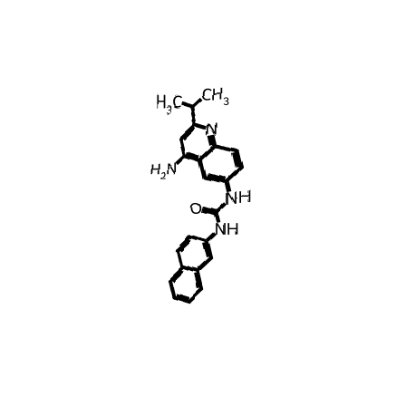 CC(C)c1cc(N)c2cc(NC(=O)Nc3ccc4ccccc4c3)ccc2n1